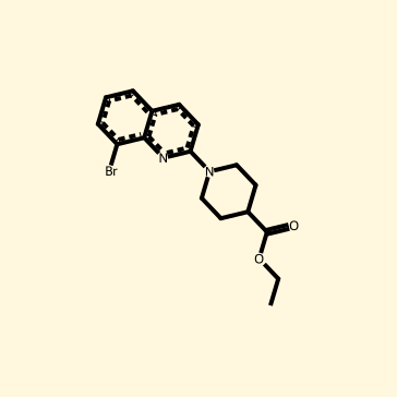 CCOC(=O)C1CCN(c2ccc3cccc(Br)c3n2)CC1